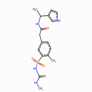 CNC(=S)NS(=O)(=O)c1cc(CC(=O)NC(C)c2cc[nH]c2)ccc1C